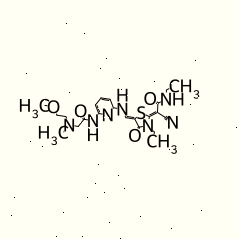 CCNC(=O)C(C#N)=c1sc(=CNc2cccc(NC(=O)CN(C)CCOC)n2)c(=O)n1CC